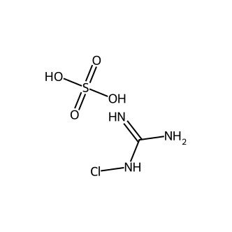 N=C(N)NCl.O=S(=O)(O)O